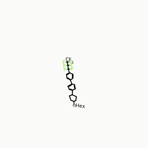 CCCCCCC1CCC(c2ccc(-c3ccc(C(F)(F)C(F)(F)C(F)(F)C(F)(F)F)cc3)cc2)CC1